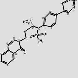 CS(=O)(=O)N(c1ccc(-c2cncnc2)cc1)[C@H](CCn1nnc2ccccc2c1=O)C(=O)O